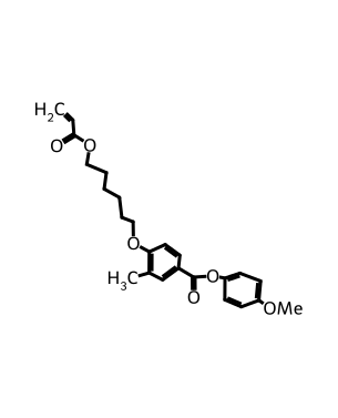 C=CC(=O)OCCCCCCOc1ccc(C(=O)Oc2ccc(OC)cc2)cc1C